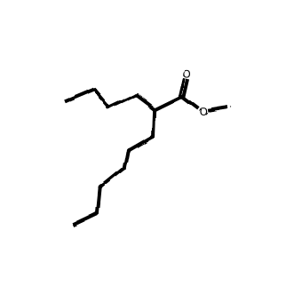 [CH2]OC(=O)C(CCCC)CCCCCC